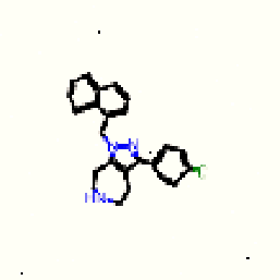 Clc1ccc(-c2nn(Cc3cccc4ccccc34)c3c2CCNCC3)cc1